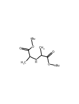 CCCCOC(=O)C(C)NC(C)C(=O)OC(C)(C)C